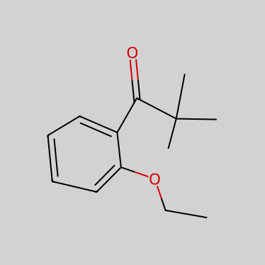 CCOc1ccccc1C(=O)C(C)(C)C